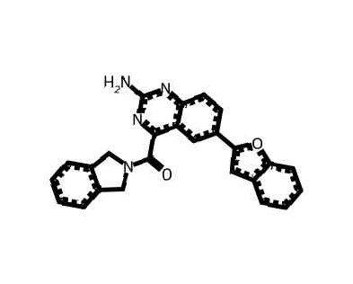 Nc1nc(C(=O)N2Cc3ccccc3C2)c2cc(-c3cc4ccccc4o3)ccc2n1